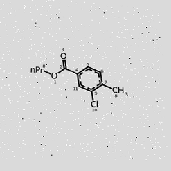 CCCOC(=O)c1ccc(C)c(Cl)c1